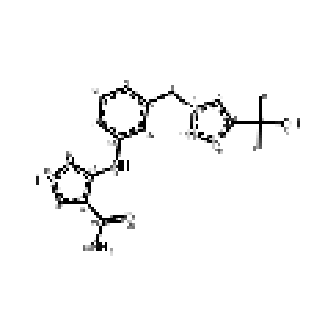 CC(C)(O)c1cn(Cc2cccc(Nc3n[nH]cc3C(N)=O)c2)nn1